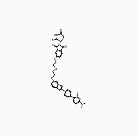 CN(C)c1ccc(-c2ccc(-c3cn4cc(OCCOCCOc5ccc6c(c5)C(=O)N(C5CCC(=O)NC5=O)C6=O)ccc4n3)cc2)c(F)n1